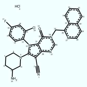 Cl.N#Cc1c(N2CCCC(N)C2)n(-c2ccc(F)cc2Cl)c2c(=O)n(Cc3nccc4ccccc34)cnc12